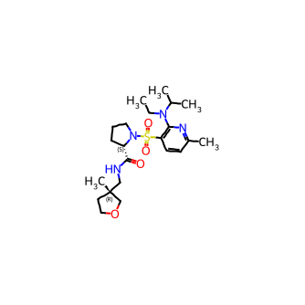 CCN(c1nc(C)ccc1S(=O)(=O)N1CCC[C@H]1C(=O)NC[C@@]1(C)CCOC1)C(C)C